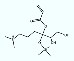 C=CC(=O)OC(CCC[SiH](C)C)(O[Si](C)(C)C)C(O)CO